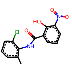 Cc1cccc(Cl)c1NC(=O)c1cccc([N+](=O)[O-])c1O